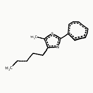 [CH2]CCCCc1nc(-c2ccccc2)sc1C